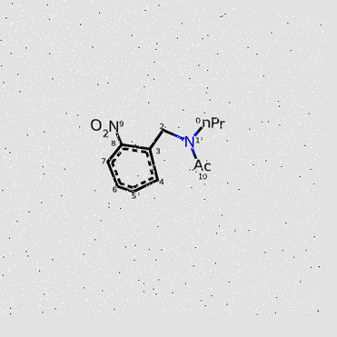 CCCN(Cc1ccccc1[N+](=O)[O-])C(C)=O